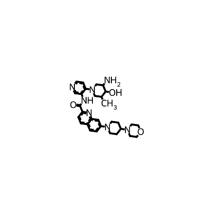 CC1CN(c2ccncc2NC(=O)c2ccc3ccc(N4CCC(N5CCOCC5)CC4)cc3n2)CC(N)C1O